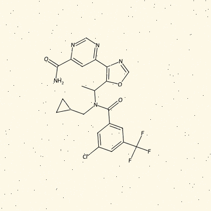 CC(c1ocnc1-c1cc(C(N)=O)ncn1)N(CC1CC1)C(=O)c1cc(Cl)cc(C(F)(F)F)c1